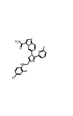 Cc1cccc(-c2nc(CNc3ccc(Cl)cc3F)cn2-c2ccc3ncc(C(N)=O)n3c2)n1